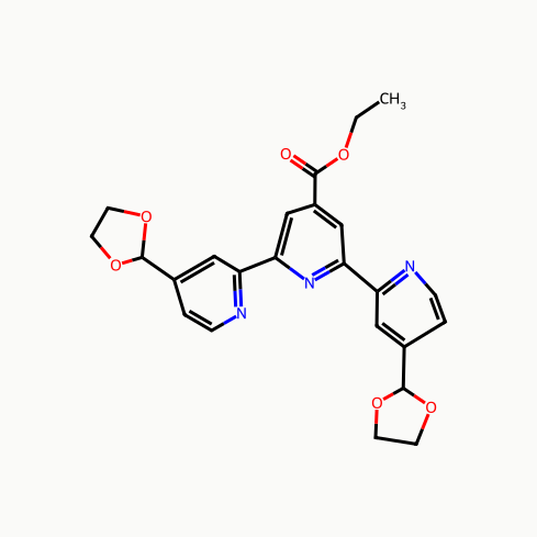 CCOC(=O)c1cc(-c2cc(C3OCCO3)ccn2)nc(-c2cc(C3OCCO3)ccn2)c1